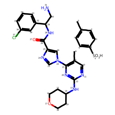 Cc1ccc(S(=O)(=O)O)cc1.Cc1cnc(NC2CCOCC2)nc1-n1cnc(C(=O)NC(CN)c2cccc(Cl)c2)c1